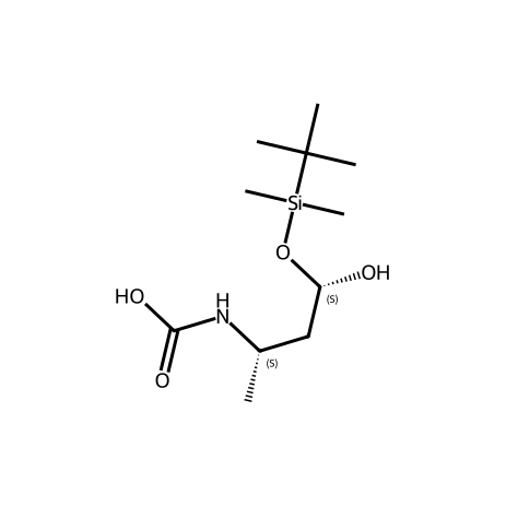 C[C@@H](C[C@@H](O)O[Si](C)(C)C(C)(C)C)NC(=O)O